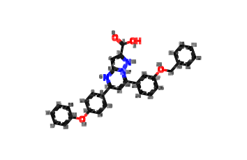 O=C(O)c1cc2nc(-c3ccc(Oc4ccccc4)cc3)cc(-c3cccc(OCc4ccccc4)c3)n2n1